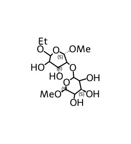 CCOC1O[C@H](OC)C(OC2O[C@H](OC)C(O)[C@H](O)C2O)[C@H](O)C1O